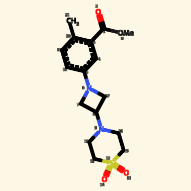 COC(=O)c1cc(N2CC(N3CCS(=O)(=O)CC3)C2)ccc1C